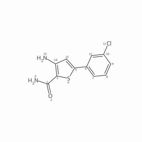 NC(=O)c1sc(-c2cccc(Cl)c2)cc1N